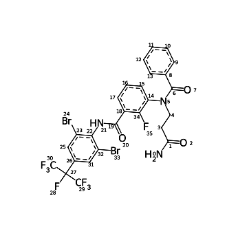 NC(=O)CCN(C(=O)c1ccccc1)c1cccc(C(=O)Nc2c(Br)cc(C(F)(C(F)(F)F)C(F)(F)F)cc2Br)c1F